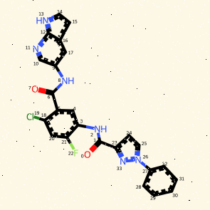 O=C(Nc1cc(C(=O)Nc2cnc3[nH]ccc3c2)c(Cl)cc1F)c1ccn(-c2ccccc2)n1